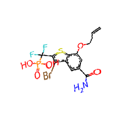 C=CCOc1cc(C(N)=O)cc2c(Br)c(C(F)(F)P(=O)(O)O)sc12